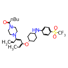 C=C/C(=C\C(=C/C)O[C@H]1CC[C@H](Nc2ccc(S(=O)(=O)C(F)(F)F)cc2)CC1)N1CCN(C(=O)CCCC)CC1